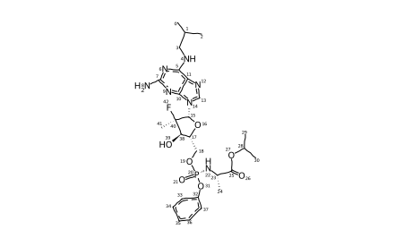 CC(C)CNc1nc(N)nc2c1ncn2[C@@H]1O[C@H](CO[P@@](=O)(N[C@@H](C)C(=O)OC(C)C)Oc2ccccc2)[C@@H](O)[C@@]1(C)F